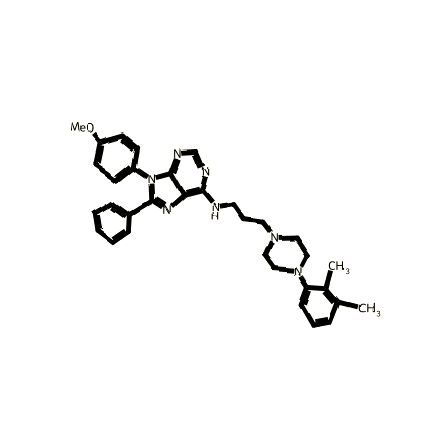 COc1ccc(-n2c(-c3ccccc3)nc3c(NCCCN4CCN(c5cccc(C)c5C)CC4)ncnc32)cc1